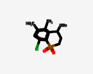 COC1CCS(=O)(=O)c2c(Cl)cc(C(=O)O)c(C)c21